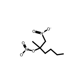 CCCCC(C)(C[N+](=O)[O-])O[N+](=O)[O-]